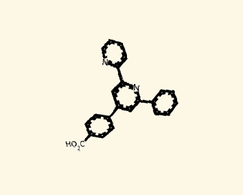 O=C(O)c1ccc(-c2cc(-c3ccccc3)nc(-c3ccccn3)c2)cc1